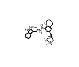 C[C@H]([C@@H](C)O)N(C)CC#Cc1cc2c(c(C(=O)N[C@@H](CO)Cc3c[nH]c4ccccc34)c1)OCCCC2